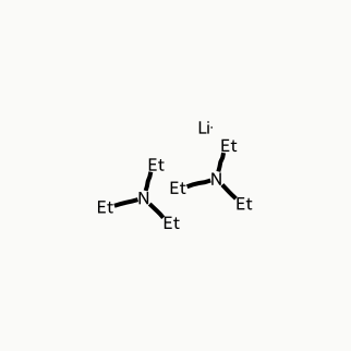 CCN(CC)CC.CCN(CC)CC.[Li]